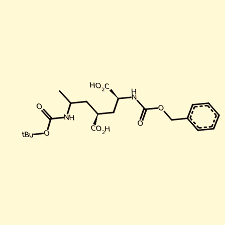 CC(C[C@@H](C[C@H](NC(=O)OCc1ccccc1)C(=O)O)C(=O)O)NC(=O)OC(C)(C)C